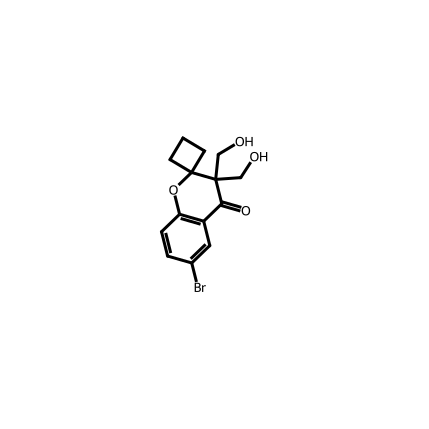 O=C1c2cc(Br)ccc2OC2(CCC2)C1(CO)CO